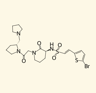 O=C1[C@@H](NS(=O)(=O)/C=C/c2ccc(Br)s2)CCCN1CC(=O)N1CCC[C@@H]1CN1CCCC1